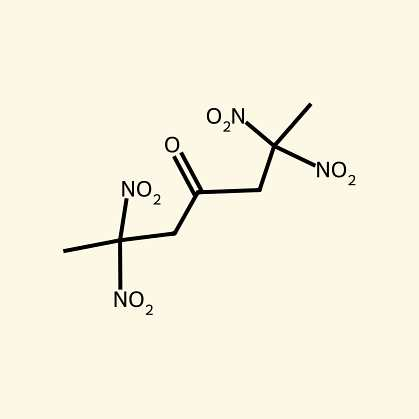 CC(CC(=O)CC(C)([N+](=O)[O-])[N+](=O)[O-])([N+](=O)[O-])[N+](=O)[O-]